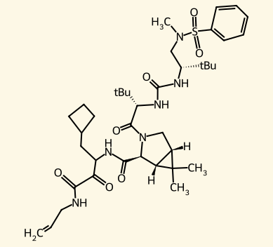 C=CCNC(=O)C(=O)C(CC1CCC1)NC(=O)[C@@H]1[C@@H]2[C@H](CN1C(=O)[C@@H](NC(=O)N[C@H](CN(C)S(=O)(=O)c1ccccc1)C(C)(C)C)C(C)(C)C)C2(C)C